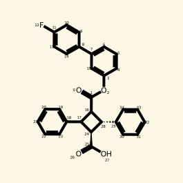 O=C(Oc1cccc(-c2ccc(F)cc2)c1)C1C(c2ccccc2)[C@H](C(=O)O)[C@H]1c1ccccc1